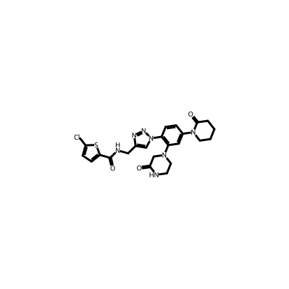 O=C1CN(c2cc(N3CCCCC3=O)ccc2-n2cc(CNC(=O)c3ccc(Cl)s3)nn2)CCN1